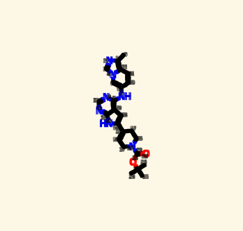 Cc1ncn2cc(Nc3ncnc4[nH]c(C5=CCN(C(=O)OC(C)(C)C)CC5)cc34)ccc12